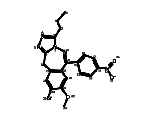 CCCc1nnc2n1N=C(c1ccc([N+](=O)[O-])cc1)c1cc(OC)c(Br)cc1C2